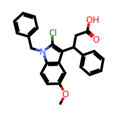 COc1ccc2c(c1)c(C(CC(=O)O)c1ccccc1)c(Cl)n2Cc1ccccc1